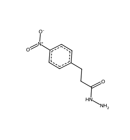 NNC(=O)CCc1ccc([N+](=O)[O-])cc1